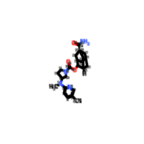 CN(c1ccc(C#N)cn1)C1CCN(C(=O)OC2C3CC4C[C@H]2C[C@@](C(N)=O)(C4)C3)C1